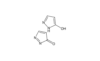 O=C1C=CN=N1.Oc1ccn[nH]1